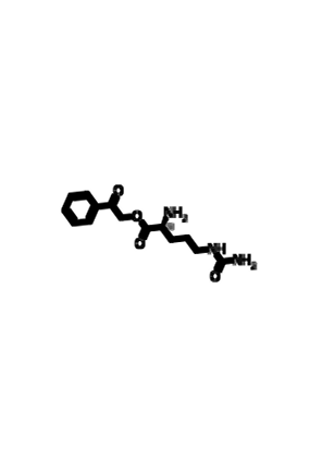 NC(=O)NCCC[C@H](N)C(=O)OCC(=O)c1ccccc1